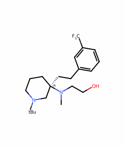 CN(CCO)[C@]1(CCc2cccc(C(F)(F)F)c2)CCCN(C(C)(C)C)C1